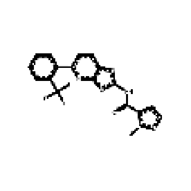 Cn1nccc1C(=O)Nc1nc2ccc(-c3ccccc3C(F)(F)F)nc2s1